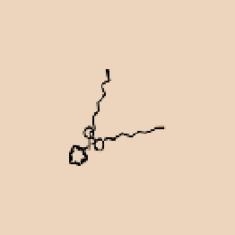 CCCCCCCCOP(OCCCCCCCC)c1ccccc1